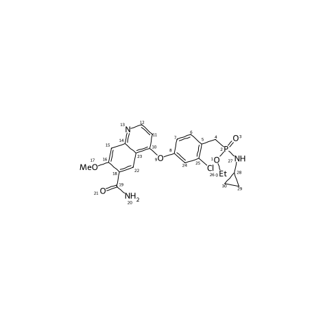 CCOP(=O)(Cc1ccc(Oc2ccnc3cc(OC)c(C(N)=O)cc23)cc1Cl)NC1CC1